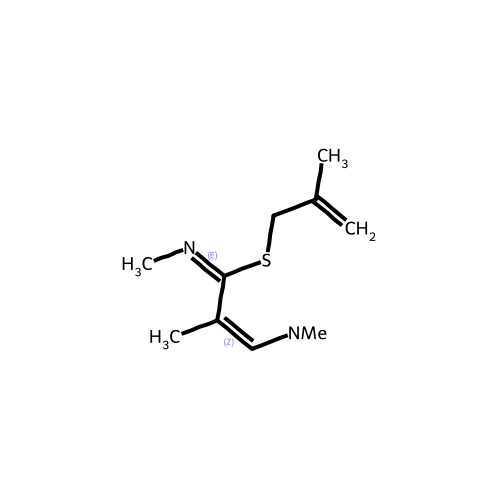 C=C(C)CSC(=N/C)/C(C)=C\NC